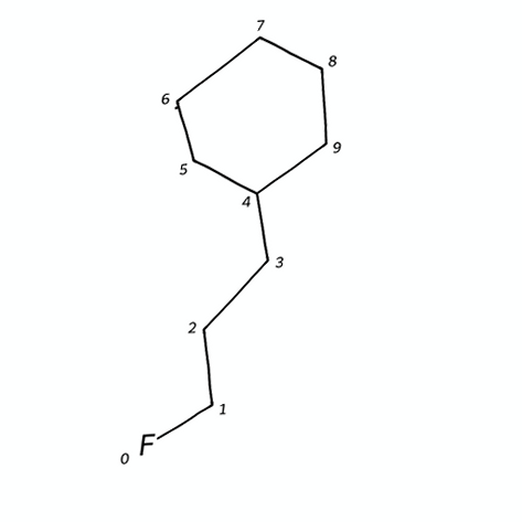 FCCCC1C[CH]CCC1